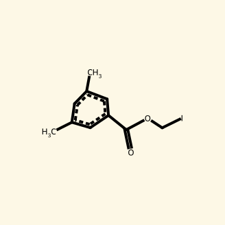 Cc1cc(C)cc(C(=O)OCI)c1